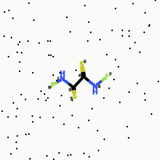 FNC(=S)C(=S)NF